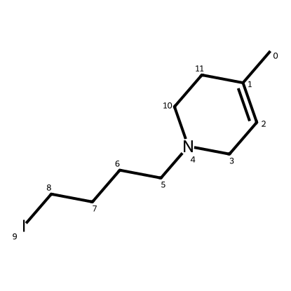 CC1=CCN(CCCCI)CC1